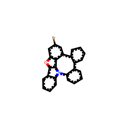 Brc1cc2oc3c4ccccc4n4c5ccccc5c5ccccc5c(c1)c2c34